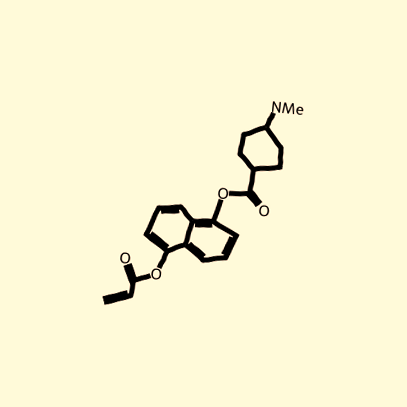 C=CC(=O)Oc1cccc2c(OC(=O)C3CCC(NC)CC3)cccc12